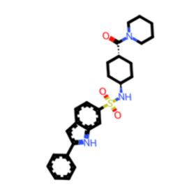 O=C([C@H]1CC[C@H](NS(=O)(=O)c2ccc3cc(-c4ccccc4)[nH]c3c2)CC1)N1CCCCC1